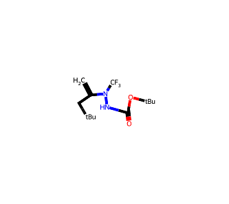 C=C(CC(C)(C)C)N(NC(=O)OC(C)(C)C)C(F)(F)F